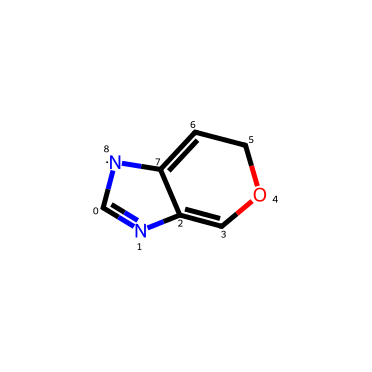 C1=NC2=COCC=C2[N]1